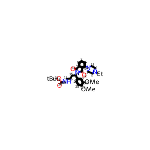 CCN1CCN(c2cccc3c2C(=O)N(C(CCCNC(=O)OC(C)(C)C)c2ccc(OC)c(OC)c2)C3=O)CC1